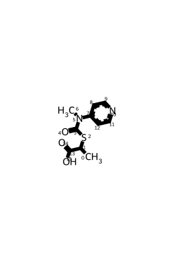 CC(SC(=O)N(C)c1ccncc1)C(=O)O